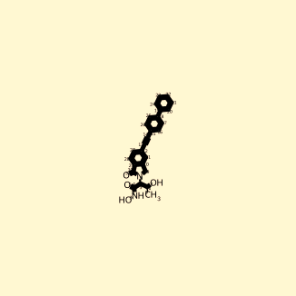 C[C@@H](O)[C@@H](C(=O)NO)N1Cc2cc(C#Cc3ccc(-c4ccccc4)cc3)ccc2C1=O